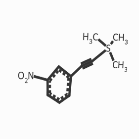 CS(C)(C)C#Cc1cccc([N+](=O)[O-])c1